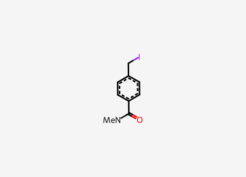 CNC(=O)c1ccc(CI)cc1